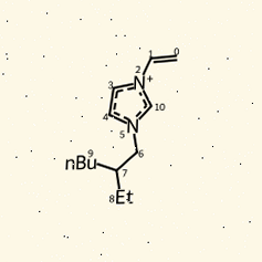 C=C[n+]1ccn(CC(CC)CCCC)c1